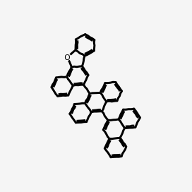 c1ccc2c(c1)cc(-c1c3ccccc3c(-c3cc4c5ccccc5oc4c4ccccc34)c3ccccc13)c1ccccc12